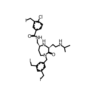 CC(C)NCC[C@@H]1N[C@H](CNC(=O)c2ccc(Cl)c(CI)c2)CCN(Cc2cc(CI)cc(CI)c2)C1=O